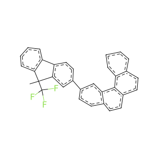 CC1(C(F)(F)F)c2ccccc2-c2ccc(-c3ccc4ccc5ccc6ccccc6c5c4c3)cc21